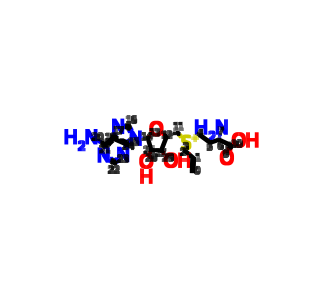 C=CC[S+](CC[C@H](N)C(=O)O)C[C@H]1O[C@@H](n2cnc3c(N)ncnc32)C(O)C1O